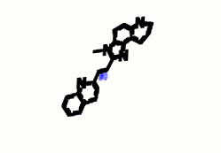 Cn1c(/C=C/c2ccc3ccccc3n2)nc2c3cccnc3ccc21